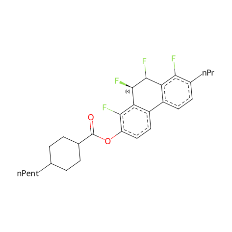 CCCCCC1CCC(C(=O)Oc2ccc3c(c2F)[C@@H](F)C(F)c2c-3ccc(CCC)c2F)CC1